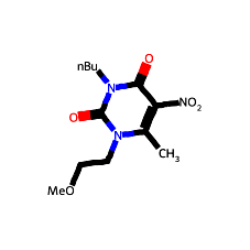 CCCCn1c(=O)c([N+](=O)[O-])c(C)n(CCOC)c1=O